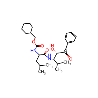 CC(C)CC(NC(=O)OCC1CCCCC1)C(=O)N[C@@H](C(C)C)[C@H](O)c1c(-c2ccccc2)c1=O